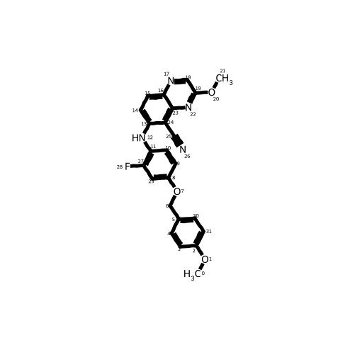 COc1ccc(COc2ccc(Nc3ccc4ncc(OC)nc4c3C#N)c(F)c2)cc1